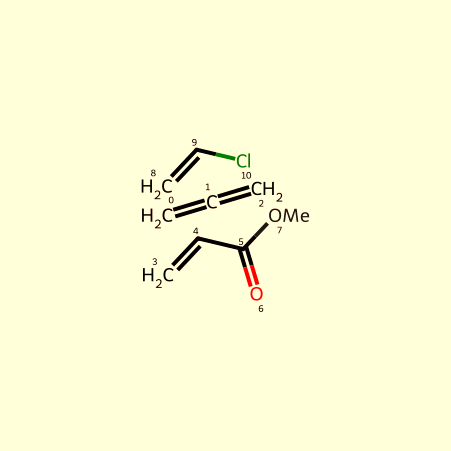 C=C=C.C=CC(=O)OC.C=CCl